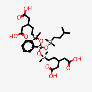 CC(C)CC[Si](C)(C)O[Si](O[Si](C)(C)CCC(CC(=O)O)CC(=O)O)(O[Si](C)(C)CCC(CC(=O)O)CC(=O)O)c1ccccc1